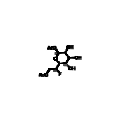 CC(=O)OC[C@H](F)C1O[C@@H](OC(C)=O)C(O)C(O)[C@@H]1O